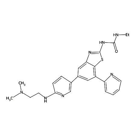 CCNC(=O)Nc1nc2cc(-c3ccc(NCCN(C)C)nc3)cc(-c3ccccn3)c2s1